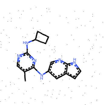 Cc1cnc(NC2CCC2)nc1Nc1cnc2[nH]ccc2c1